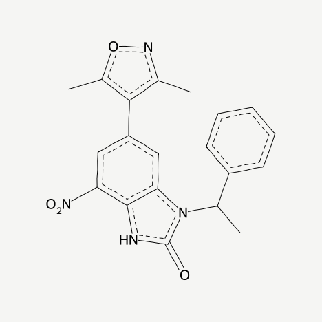 Cc1noc(C)c1-c1cc([N+](=O)[O-])c2[nH]c(=O)n(C(C)c3ccccc3)c2c1